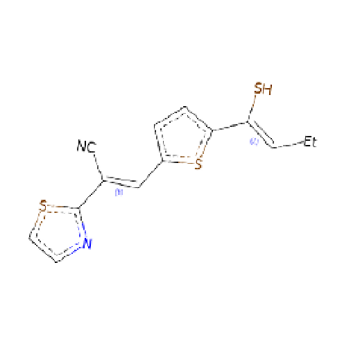 CC/C=C(\S)c1ccc(/C=C(\C#N)c2nccs2)s1